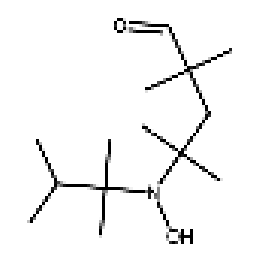 CC(C)C(C)(C)N(O)C(C)(C)CC(C)(C)C=O